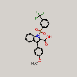 COc1ccc(-c2c(C(=O)O)n(S(=O)(=O)c3cccc(C(F)(F)F)c3)c3ccccc23)cc1